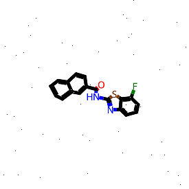 O=C(Nc1nc2cccc(F)c2s1)c1ccc2ccccc2c1